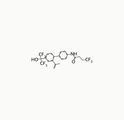 C=C(C)c1cc(C(O)(C(F)(F)F)C(F)(F)F)ccc1-c1ccc(NC(=O)CCC(F)(F)F)cc1